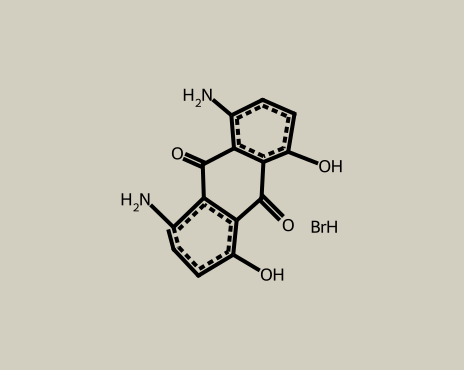 Br.Nc1ccc(O)c2c1C(=O)c1c(N)ccc(O)c1C2=O